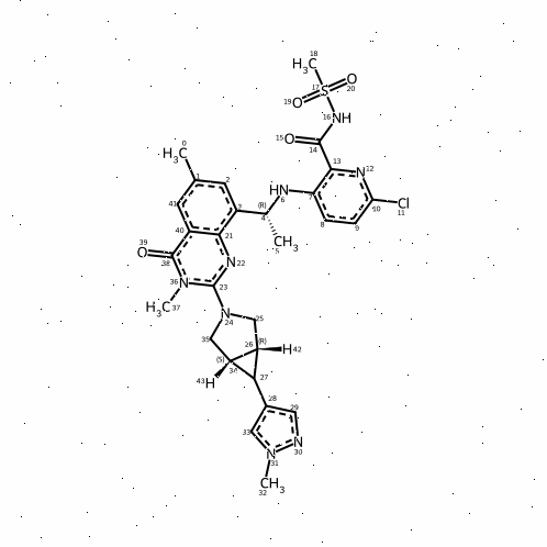 Cc1cc([C@@H](C)Nc2ccc(Cl)nc2C(=O)NS(C)(=O)=O)c2nc(N3C[C@@H]4C(c5cnn(C)c5)[C@@H]4C3)n(C)c(=O)c2c1